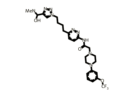 CNC(O)c1cn(CCCCc2ccc(NC(=O)CN3CCN(c4cccc(OC(F)(F)F)c4)CC3)nn2)nn1